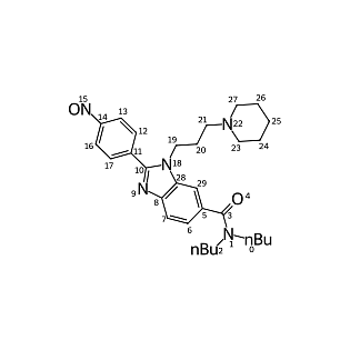 CCCCN(CCCC)C(=O)c1ccc2nc(-c3ccc(N=O)cc3)n(CCCN3CCCCC3)c2c1